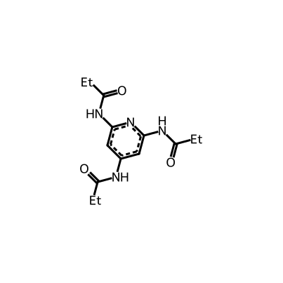 CCC(=O)Nc1cc(NC(=O)CC)nc(NC(=O)CC)c1